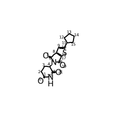 O=C1CCC(N2C(=O)c3cc(C4CCCC4)sc3C2=O)C(=O)N1